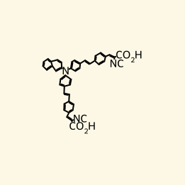 [C-]#[N+]/C(=C\c1ccc(/C=C/c2ccc(N(c3ccc(/C=C/c4ccc(/C=C(\[N+]#[C-])C(=O)O)cc4)cc3)c3ccc4ccccc4c3)cc2)cc1)C(=O)O